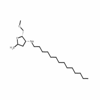 BC1C[C@@H](NCCCCCCCCCCCCCC)[C@@H](COC)O1